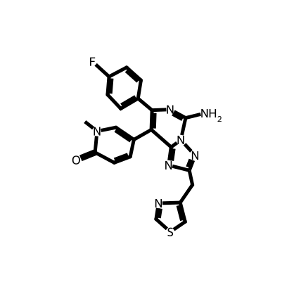 Cn1cc(-c2c(-c3ccc(F)cc3)nc(N)n3nc(Cc4cscn4)nc23)ccc1=O